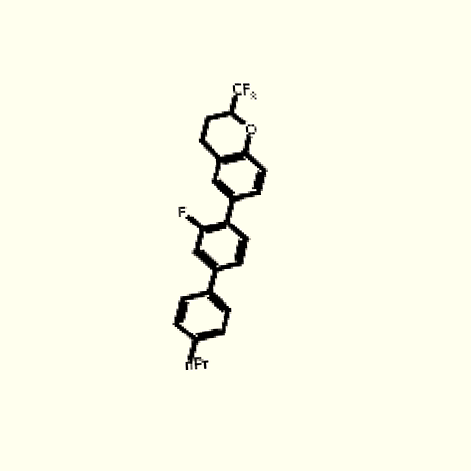 CCCc1ccc(-c2ccc(-c3ccc4c(c3)CCC(C(F)(F)F)O4)c(F)c2)cc1